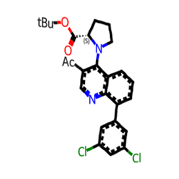 CC(=O)c1cnc2c(-c3cc(Cl)cc(Cl)c3)cccc2c1N1CCC[C@H]1C(=O)OC(C)(C)C